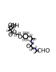 C/C(C=O)=C\[C@@H](C)C(=O)/C=C/[C@H](C)C[C@H]1CC[C@H](OCCOC(=O)C(C)(CO)CO)CC1